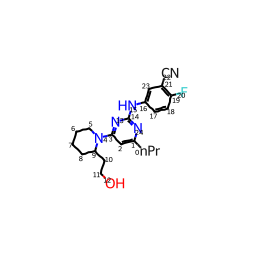 CCCc1cc(N2CCCCC2CCO)nc(Nc2ccc(F)c(C#N)c2)n1